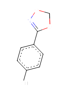 Cc1ccc(C2=NOCO2)cc1